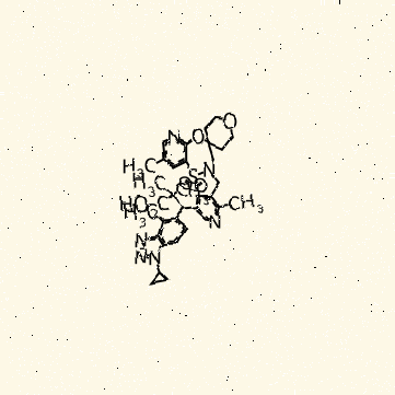 Cc1cnc2c(c1)S(=O)(=O)N(Cc1cc([C@@H](c3ccc4c(nnn4C4CC4)c3C)C(C)(C)C(=O)O)cnc1C)CC1(CCOCC1)O2